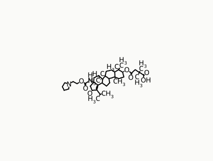 CC(C)C1=C2C3CCC4[C@@]5(C)CC[C@H](OC(=O)CC(C)(C)C(=O)O)C(C)(C)C5CC[C@@]4(C)[C@]3(C)CC[C@@]2(NC(=O)OCCN2CCCC2)CC1=O